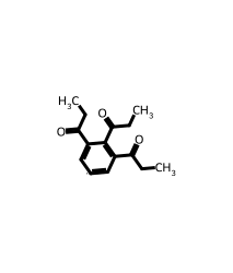 CCC(=O)c1c[c]cc(C(=O)CC)c1C(=O)CC